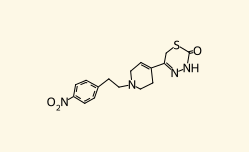 O=C1NN=C(C2=CCN(CCc3ccc([N+](=O)[O-])cc3)CC2)CS1